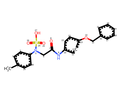 Cc1ccc(N(CC(=O)Nc2ccc(OCc3ccccc3)cc2)S(=O)(=O)O)cc1